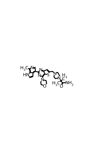 Cc1ncc(-c2nc(N3CCOCC3)c3sc(CN4CCN(C(C)(C)C(N)=O)CC4)cc3n2)c2cc[nH]c12